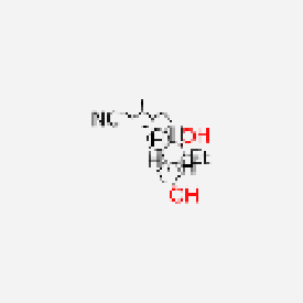 CC[C@H]1[C@@H](O)[C@@H]2[C@H](CC[C@]3(C)[C@@H]([C@H](C)CCC#N)CC[C@@H]23)[C@@]2(C)CC[C@@H](O)C[C@@H]12